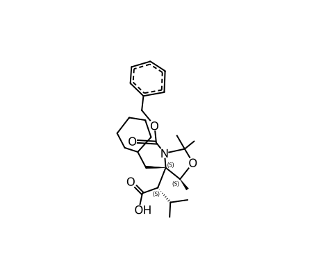 CC(C)[C@H](C(=O)O)[C@@]1(CC2CCCCC2)[C@H](C)OC(C)(C)N1C(=O)OCc1ccccc1